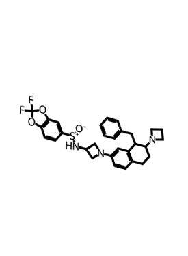 [O-][S+](NC1CN(c2ccc3c(c2)C(Cc2ccccc2)C(N2CCC2)CC3)C1)c1ccc2c(c1)OC(F)(F)O2